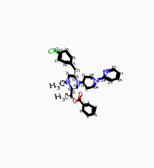 C[C@@H](OC(=O)c1ccccc1)[C@H]1CN(C2CCN(c3ccccn3)CC2)[C@@H](Cc2ccc(Cl)cc2)CN1C